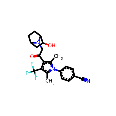 Cc1c(C(=O)CN2C3CCC2C(O)C3)c(C(F)(F)F)c(C)n1-c1ccc(C#N)cc1